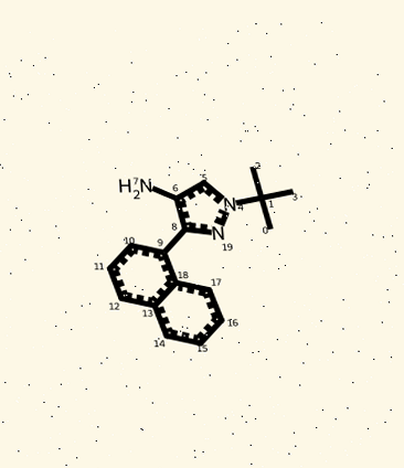 CC(C)(C)n1cc(N)c(-c2cccc3ccccc23)n1